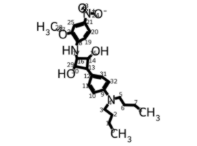 CCCCN(CCCC)c1ccc(C2C(O)C(Nc3ccc([N+](=O)[O-])cc3OC)C2O)cc1